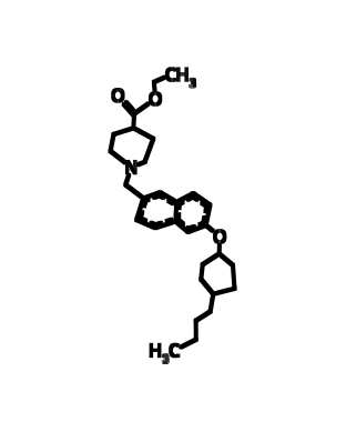 CCCCC1CCC(Oc2ccc3cc(CN4CCC(C(=O)OCC)CC4)ccc3c2)CC1